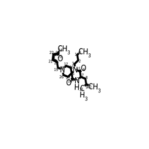 CCCCN1C(=O)C(CC(C)C)NC(=O)C12CCN(Cc1ccc(C)o1)CC2